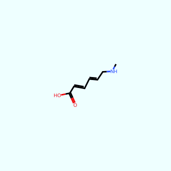 CNC/C=C/C=C/C(=O)O